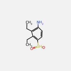 CCc1c(N)ccc([SH](=O)=O)c1CC